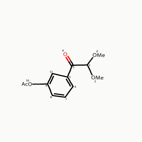 COC(OC)C(=O)c1cccc(OC(C)=O)c1